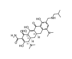 CC(C)CNCc1cc(N(C)C)c2c(c1O)C(=O)C1=C(O)[C@]3(O)C(=O)C(C(N)=O)=C(O)[C@@H](N(C)C)[C@@H]3C[C@@H]1C2